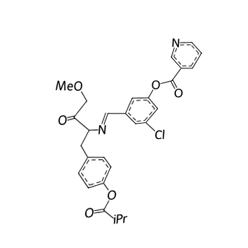 COCC(=O)C(Cc1ccc(OC(=O)C(C)C)cc1)N=Cc1cc(Cl)cc(OC(=O)c2cccnc2)c1